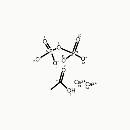 CC(=O)O.O=P([O-])([O-])OP(=O)([O-])[O-].[Ca+2].[Ca+2]